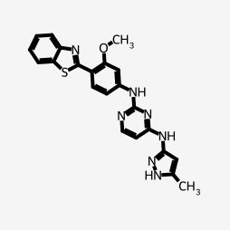 COc1cc(Nc2nccc(Nc3cc(C)[nH]n3)n2)ccc1-c1nc2ccccc2s1